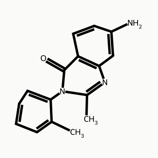 Cc1ccccc1-n1c(C)nc2cc(N)ccc2c1=O